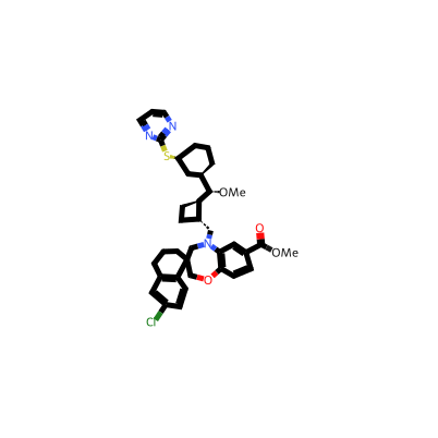 COC(=O)c1ccc2c(c1)N(C[C@@H]1CC[C@H]1[C@@H](OC)[C@@H]1CCC[C@H](Sc3ncccn3)C1)CC1(CCCc3cc(Cl)ccc31)CO2